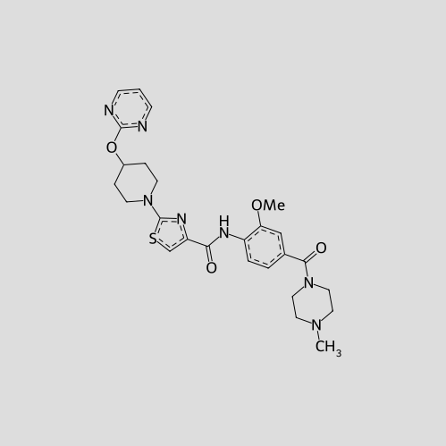 COc1cc(C(=O)N2CCN(C)CC2)ccc1NC(=O)c1csc(N2CCC(Oc3ncccn3)CC2)n1